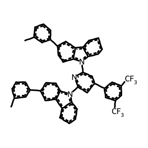 Cc1cccc(-c2ccc3c(c2)c2ccccc2n3-c2cc(-c3cc(C(F)(F)F)cc(C(F)(F)F)c3)cc(-n3c4ccccc4c4cc(-c5cccc(C)c5)ccc43)n2)c1